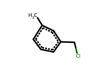 Cc1[c]c(CCl)ccc1